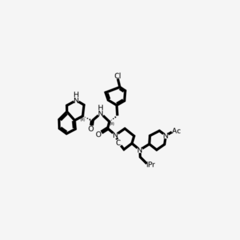 CC(=O)N1CCC(N(CC(C)C)C2CCN(C(=O)[C@@H](Cc3ccc(Cl)cc3)NC(=O)[C@H]3CNCc4ccccc43)CC2)CC1